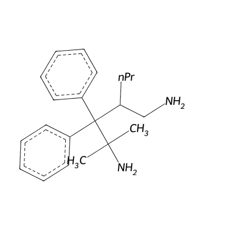 CCCC(CN)C(c1ccccc1)(c1ccccc1)C(C)(C)N